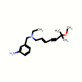 CCN(CC=CC#CC(C)(C)OC)Cc1cccc(N)c1